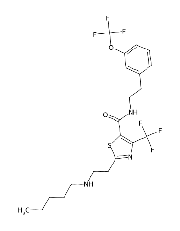 CCCCCNCCc1nc(C(F)(F)F)c(C(=O)NCCc2cccc(OC(F)(F)F)c2)s1